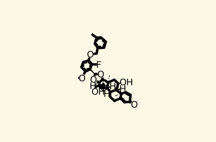 COc1ccc(OCc2cccc(C)c2)c(F)c1[C@@H]1O[C@@H]2C[C@H]3[C@@H]4CCC5=CC(=O)C=C[C@]5(C)[C@H]4[C@@H](O)C[C@]3(C)[C@]2(C(=O)CO)O1